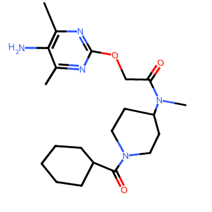 Cc1nc(OCC(=O)N(C)C2CCN(C(=O)C3CCCCC3)CC2)nc(C)c1N